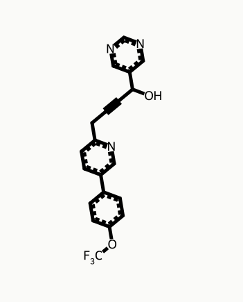 OC(C#CCc1ccc(-c2ccc(OC(F)(F)F)cc2)cn1)c1cncnc1